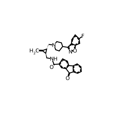 C=C1[C@H](CNC(=O)c2ccc3c(c2)C(=O)c2ccccc2-3)[C@H]1CN1CCC(c2noc3cc(F)ccc23)CC1